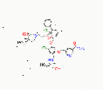 CC(CO)(NCc1cc(Cl)c(OCC2(OCCCN3CCC(CO)(C(=O)O)CC3)C=CC=C(c3ccccc3)[C@@]2(C)Cl)cc1OCc1cncc(C(N)=O)c1)C(=O)O